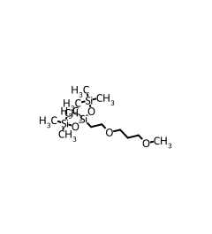 COCCCOCC[Si](C)(O[Si](C)(C)C)O[Si](C)(C)C